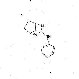 c1ccc(NC2N=C3CCC(C3)N2)cc1